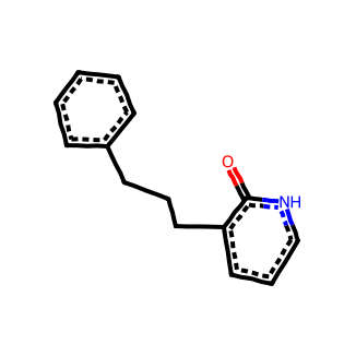 O=c1[nH]cccc1CCCc1ccccc1